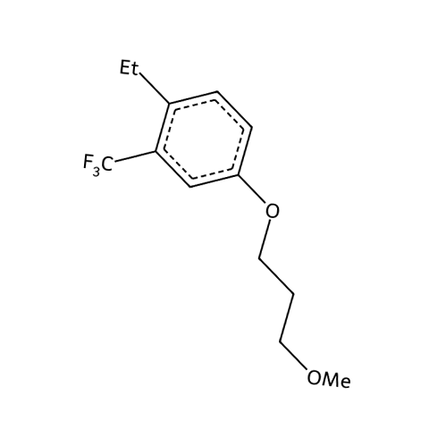 CCc1ccc(OCCCOC)cc1C(F)(F)F